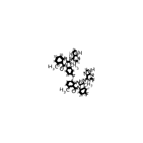 Cc1cccc2nc(C(C)Nc3nc(F)nc4[nH]cnc34)n(-c3ccc(F)cc3)c(=O)c12.Cc1cccc2nc(C(C)Nc3ncnc4[nH]ccc34)n(-c3ccc(F)cc3)c(=O)c12